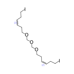 ICC/C=C\CCOCOCOCC/C=C\CCI